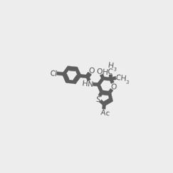 CC(=O)c1cc2c(s1)C(NC(=O)c1ccc(Cl)cc1)C(O)C(C)(C)O2